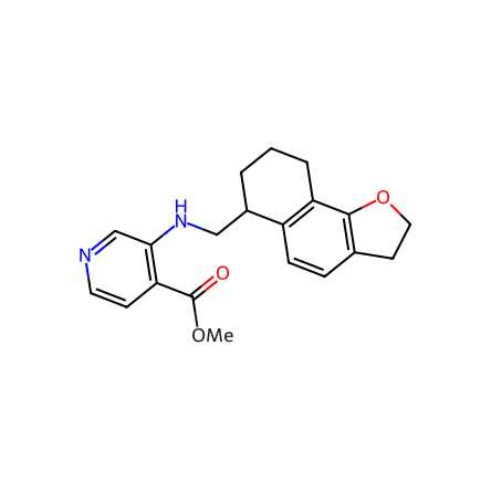 COC(=O)c1ccncc1NCC1CCCc2c1ccc1c2OCC1